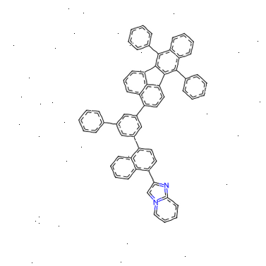 c1ccc(-c2cc(-c3ccc(-c4cn5ccccc5n4)c4ccccc34)cc(-c3ccc4c5c(cccc35)-c3c-4c(-c4ccccc4)c4ccccc4c3-c3ccccc3)c2)cc1